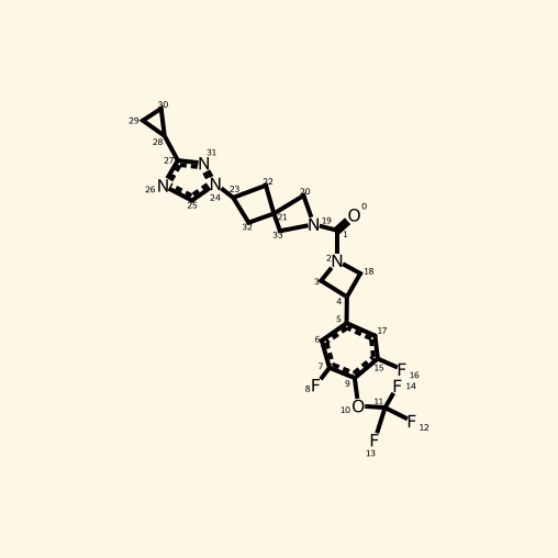 O=C(N1CC(c2cc(F)c(OC(F)(F)F)c(F)c2)C1)N1CC2(CC(n3cnc(C4CC4)n3)C2)C1